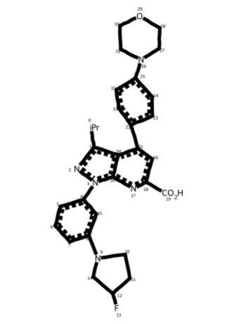 CC(C)c1nn(-c2cccc(N3CCC(F)C3)c2)c2nc(C(=O)O)cc(-c3ccc(N4CCOCC4)cc3)c12